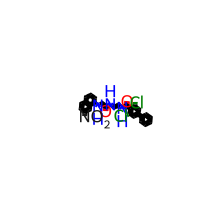 O=C(CNC1CCCc2ccc([N+](=O)[O-])cc21)NCCNC(=O)c1c(Cl)cc(-c2ccccc2)cc1Cl